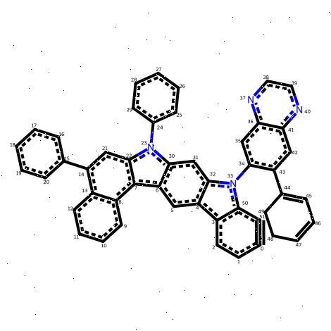 c1ccc2c3cc4c5c6ccccc6c(-c6ccccc6)cc5n(-c5ccccc5)c4cc3n(-c3cc4nccnc4cc3C3=CC=CCC3)c2c#1